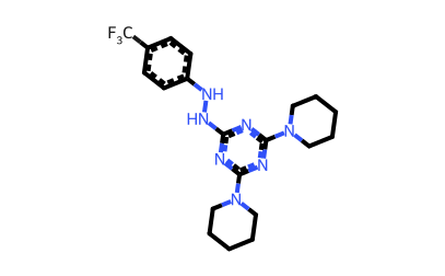 FC(F)(F)c1ccc(NNc2nc(N3CCCCC3)nc(N3CCCCC3)n2)cc1